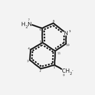 [CH2]c1cccc2c(N)cncc12